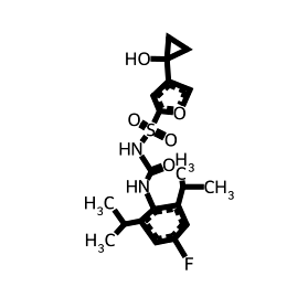 CC(C)c1cc(F)cc(C(C)C)c1NC(=O)NS(=O)(=O)c1cc(C2(O)CC2)co1